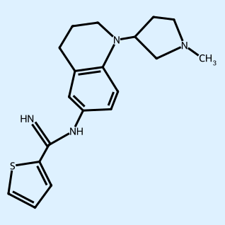 CN1CCC(N2CCCc3cc(NC(=N)c4cccs4)ccc32)C1